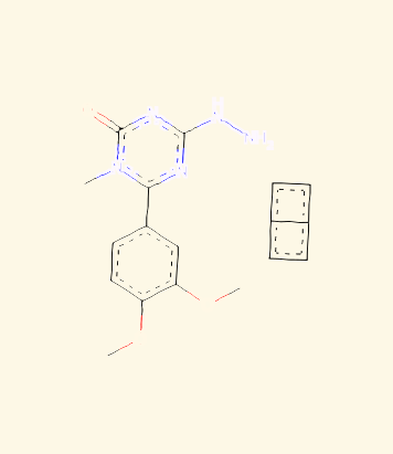 COc1ccc(-c2nc(NN)nc(=O)n2C)cc1OC.c1cc2ccc1-2